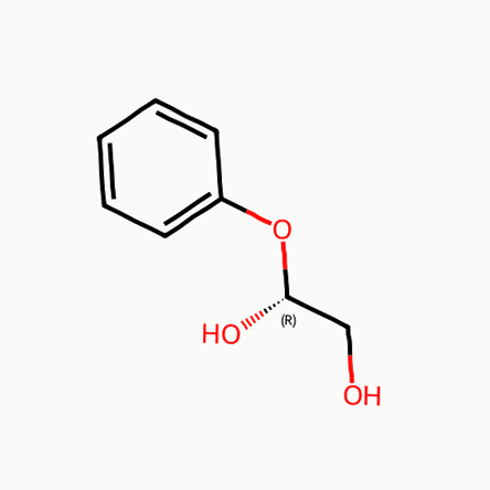 OC[C@H](O)Oc1ccccc1